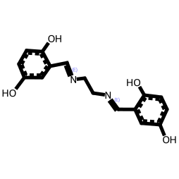 Oc1ccc(O)c(/C=N/CC/N=C/c2cc(O)ccc2O)c1